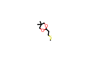 CSCCC1OCC(C)(C)CO1